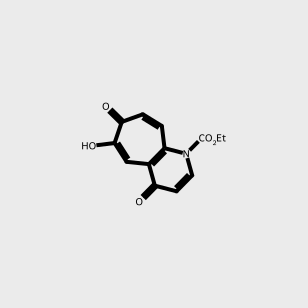 CCOC(=O)n1ccc(=O)c2cc(O)c(=O)ccc21